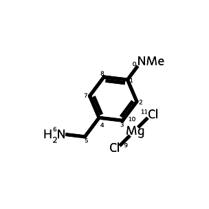 CNc1ccc(CN)cc1.[Cl][Mg][Cl]